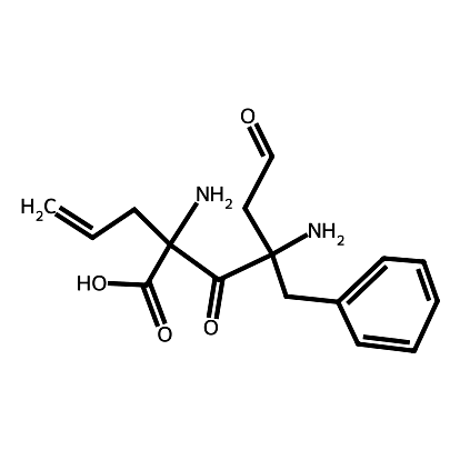 C=CCC(N)(C(=O)O)C(=O)C(N)(CC=O)Cc1ccccc1